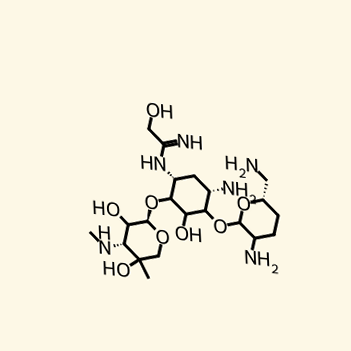 CN[C@@H]1C(O)[C@@H](OC2C(O)C(OC3O[C@H](CN)CCC3N)[C@@H](N)C[C@H]2NC(=N)CO)OCC1(C)O